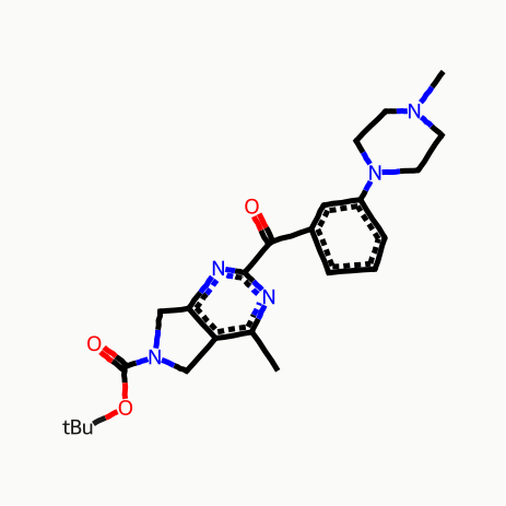 Cc1nc(C(=O)c2cccc(N3CCN(C)CC3)c2)nc2c1CN(C(=O)OC(C)(C)C)C2